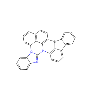 c1ccc2c(c1)B1c3c-2cccc3-n2c3c1ccc1cccc(c13)n1c3ccccc3nc21